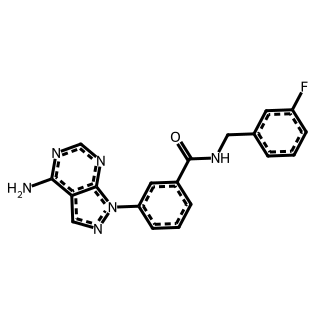 Nc1ncnc2c1cnn2-c1cccc(C(=O)NCc2cccc(F)c2)c1